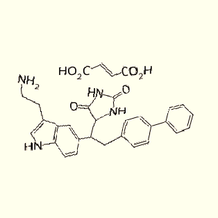 NCCc1c[nH]c2ccc(C(Cc3ccc(-c4ccccc4)cc3)C3NC(=O)NC3=O)cc12.O=C(O)C=CC(=O)O